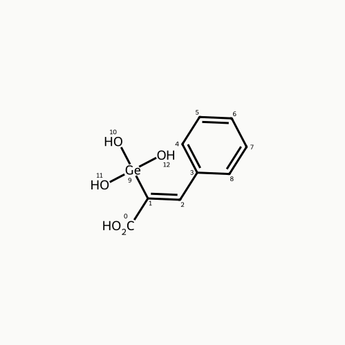 O=C(O)[C](=Cc1ccccc1)[Ge]([OH])([OH])[OH]